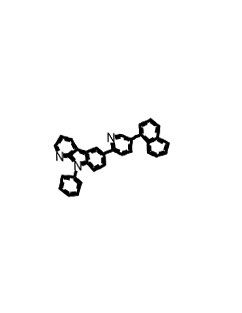 c1ccc(-n2c3ccc(-c4ccc(-c5cccc6ccccc56)cn4)cc3c3cccnc32)cc1